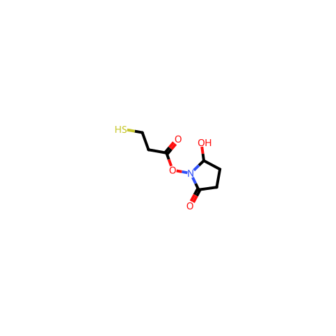 O=C(CCS)ON1C(=O)CCC1O